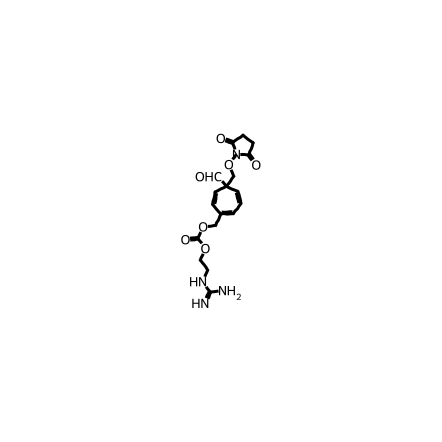 N=C(N)NCCOC(=O)OCC1=CC=CC(C=O)(CON2C(=O)CCC2=O)C=C1